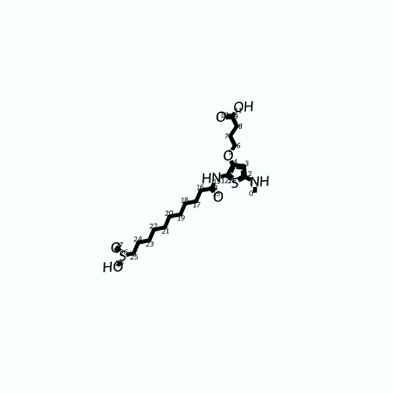 CNc1cc(OCCCC(=O)O)c(NC(=O)CCCCCCCCCCS(=O)O)s1